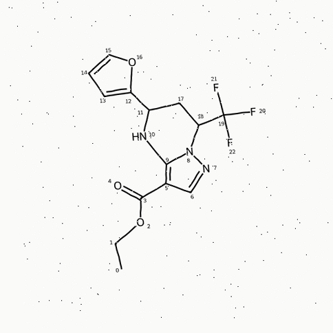 CCOC(=O)c1cnn2c1NC(c1ccco1)CC2C(F)(F)F